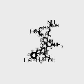 N=C(N)NCCC[C@H](NC(=O)[C@H](CC(N)=O)NC(=O)[C@H](Cc1ccc(O)cc1)NC(=O)[C@@H](N)CO)C(=O)NCC(=O)O